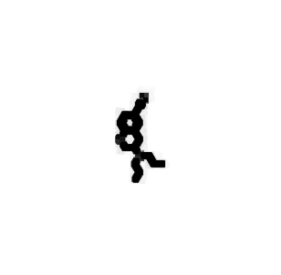 CCCN(CCC)C1COc2ccc(C#N)cc2C1